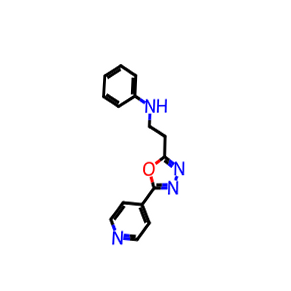 c1ccc(NCCc2nnc(-c3ccncc3)o2)cc1